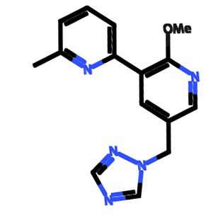 COc1ncc(Cn2cncn2)cc1-c1cccc(C)n1